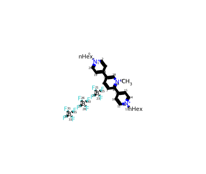 CCCCCC[n+]1ccc(-c2ccc(-c3cc[n+](CCCCCC)cc3)[n+](C)c2)cc1.F[B-](F)(F)F.F[B-](F)(F)F.F[B-](F)(F)F